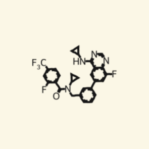 O=C(c1ccc(C(F)(F)F)cc1F)N(Cc1cccc(-c2cc(F)c3ncnc(NC4CC4)c3c2)c1)C1CC1